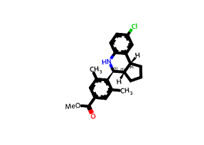 COC(=O)c1cc(C)c([C@H]2Nc3ccc(Cl)cc3[C@@H]3CCC[C@H]23)c(C)c1